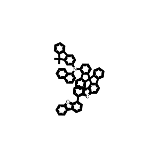 CC1(C)c2ccccc2-c2ccc(N(c3cccc4c3-c3ccccc3C43c4ccccc4-c4ccc5oc6c(-c7cccc8c7oc7ccccc78)cccc6c5c43)c3cccc4ccccc34)cc21